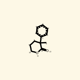 CC1(c2ccccc2)CCCOC1=O